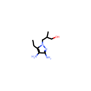 CCc1c(N)c(N)nn1CC(C)CO